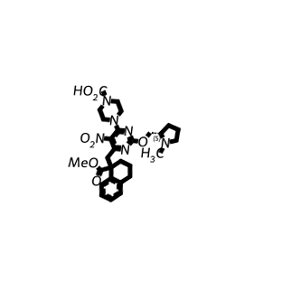 COC(=O)C1(Cc2nc(OC[C@@H]3CCCN3C)nc(N3CCN(C(=O)O)CC3)c2[N+](=O)[O-])CCCc2ccccc21